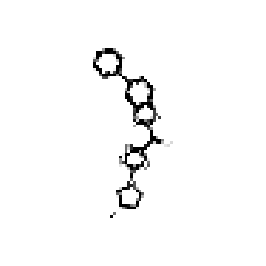 C[C@H]1CCN(c2nnc(C(=O)c3nc4ccc(-c5ccccc5)cc4s3)o2)C1